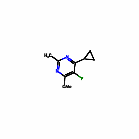 COc1nc(C)nc(C2CC2)c1F